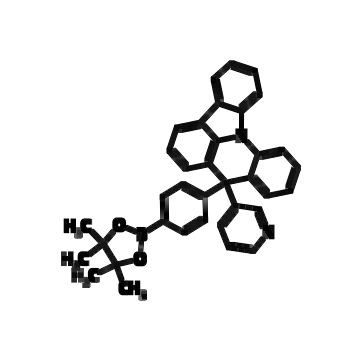 CC1(C)OB(c2ccc(C3(c4cccnc4)c4ccccc4-n4c5ccccc5c5cccc3c54)cc2)OC1(C)C